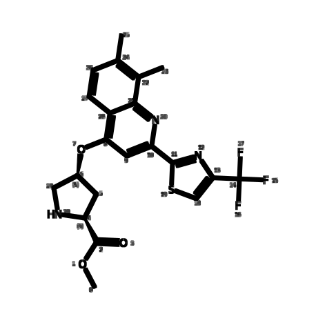 COC(=O)[C@@H]1C[C@H](Oc2cc(-c3nc(C(F)(F)F)cs3)nc3c(C)c(C)ccc23)CN1